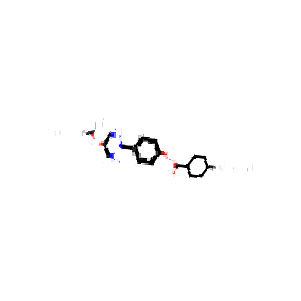 CCCCCCCCC(CCC)Oc1cnc(-c2ccc(OC(=O)C3CCC(CCCCC)CC3)cc2)nc1